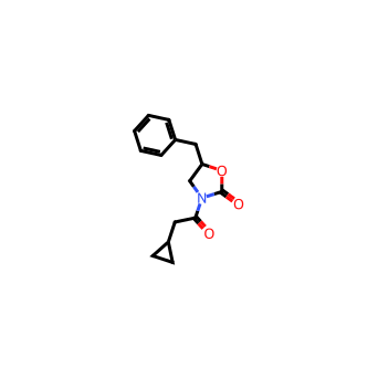 O=C(CC1CC1)N1CC(Cc2ccccc2)OC1=O